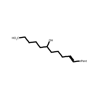 CCCCCC=CCCCC(O)CCCCC(=O)O